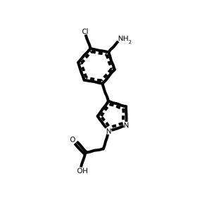 Nc1cc(-c2cnn(CC(=O)O)c2)ccc1Cl